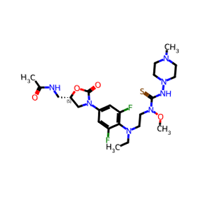 CCN(CCN(OC)C(=S)NN1CCN(C)CC1)c1c(F)cc(N2C[C@H](CNC(C)=O)OC2=O)cc1F